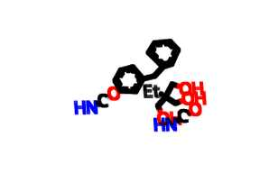 CCC(CO)(CO)CO.N=C=O.N=C=O.c1ccc(Cc2ccccc2)cc1